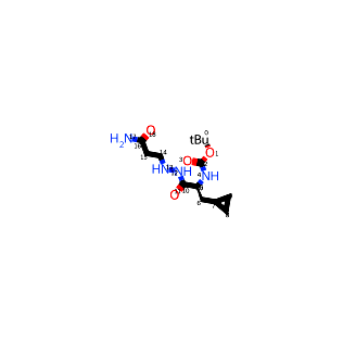 CC(C)(C)OC(=O)N[C@@H](CC1CC1)C(=O)NNCCC(N)=O